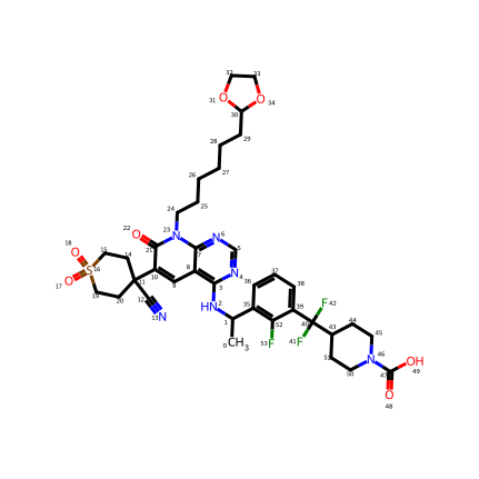 CC(Nc1ncnc2c1cc(C1(C#N)CCS(=O)(=O)CC1)c(=O)n2CCCCCCC1OCCO1)c1cccc(C(F)(F)C2CCN(C(=O)O)CC2)c1F